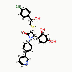 O=C1[C@H](SC[C@@H](O)c2ccc(Cl)cc2)[C@@H](c2ccc(O)cc2O)N1c1ccc(-c2cccnc2)cc1